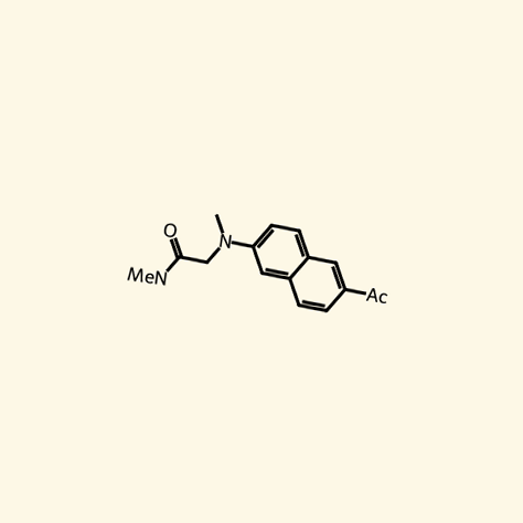 CNC(=O)CN(C)c1ccc2cc(C(C)=O)ccc2c1